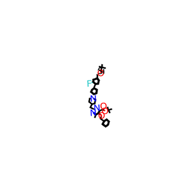 Cc1nc(CC2CCN(c3ccc(-c4ccc(CO[Si](C)(C)C(C)(C)C)cc4F)cc3)CC2)nc(C(=O)OC(C)(C)C)c1OCc1ccccc1